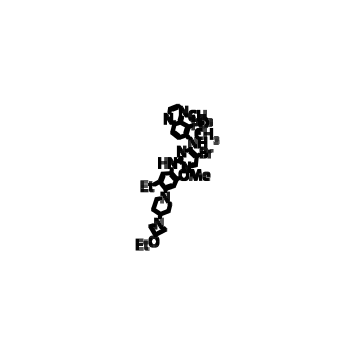 CCOC1CN(C2CCN(c3cc(OC)c(Nc4ncc(Br)c(Nc5ccc6nccnc6c5P(C)(C)=O)n4)cc3CC)CC2)C1